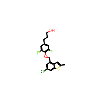 Cc1cc2c(COc3c(F)cc(CCCO)cc3F)cc(Cl)cc2s1